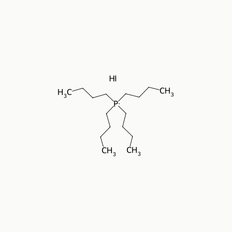 CCCC[P](CCCC)(CCCC)CCCC.I